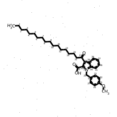 CCCCCCCCCCCCCCCCCC(=O)c1c(C(=O)O)n(Cc2ccc(OC)cc2)c2ccccc12